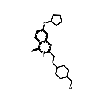 O=c1[nH]c(CSC2CCC(CO)CC2)nc2cc(NC3CCCC3)ccc12